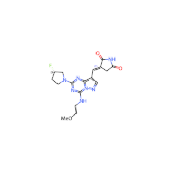 COCCNc1nc(N2CC[C@H](F)C2)nc2c(/C=C3\CC(=O)NC3=O)cnn12